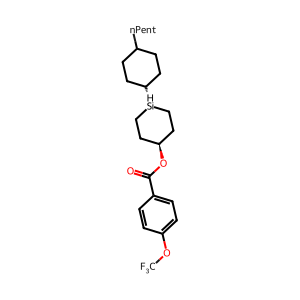 CCCCCC1CCC([Si@H]2CC[C@H](OC(=O)c3ccc(OC(F)(F)F)cc3)CC2)CC1